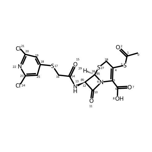 CC(=O)SC1=C(C(=O)O)N2C(=O)[C@@H](NC(=O)CSc3cc(Cl)nc(Cl)c3)[C@H]2SC1